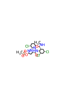 CNC(=O)c1cc(Cl)cc(Cl)c1NC(=O)c1cc(OS(C)(=O)=O)nn1-c1ncccc1Cl